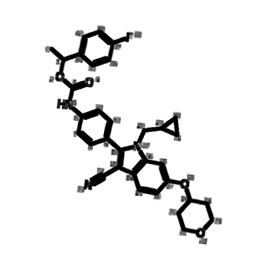 CC(OC(=O)Nc1ccc(-c2c(C#N)c3ccc(OC4CCOCC4)cc3n2CC2CC2)cc1)c1ccc(F)cc1